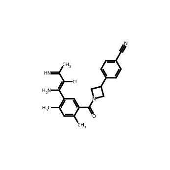 CC(=N)/C(Cl)=C(\N)c1cc(C(=O)N2CC(c3ccc(C#N)cc3)C2)c(C)cc1C